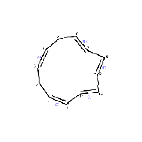 [C]1=C\C/C=C\C/C=C/C=C/C=C/1